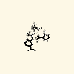 CC(=O)c1ccc2c(c1)[C@H](NC(=O)c1ccccc1Cl)[C@H](OP(=O)(O)O)C(C)(C)O2